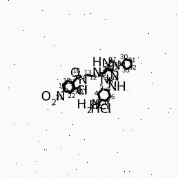 Cl.Cl.NC1CCC(Nc2nc(NCCNC(=O)c3ccc([N+](=O)[O-])cc3Cl)c3ncn(C4CCCC4)c3n2)CC1